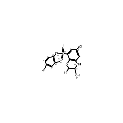 CCC1Oc2c(cc(Cl)cc2S(=O)(=O)Nc2ccc(F)cc2Cl)NC1O